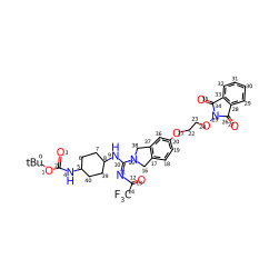 CC(C)(C)OC(=O)NC1CCC(N/C(=N/C(=O)C(F)(F)F)N2Cc3ccc(OCCON4C(=O)c5ccccc5C4=O)cc3C2)CC1